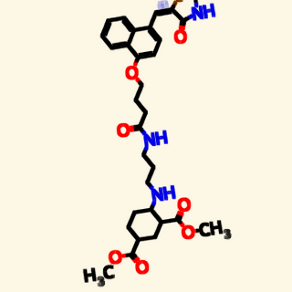 COC(=O)C1CCC(NCCCNC(=O)CCCOc2ccc(/C=C3/SC(=O)NC3=O)c3ccccc23)C(C(=O)OC)C1